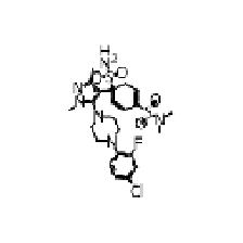 Cc1nn(C)c(N2CCN(c3ccc(Cl)cc3F)CC2)c1C1(S(N)(=O)=O)C=CC(S(=O)(=O)N(C)C)=CC1